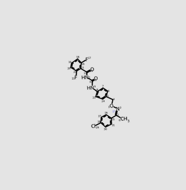 C/C(=N/OCc1ccc(NC(=O)NC(=O)c2c(F)cccc2F)cc1)c1ccc(Cl)cc1